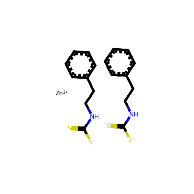 S=C([S-])NCCc1ccccc1.S=C([S-])NCCc1ccccc1.[Zn+2]